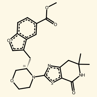 COC(=O)c1ccc2occ(C[C@H]3COCCN3c3nc4c(s3)C(=O)NC(C)(C)C4)c2c1